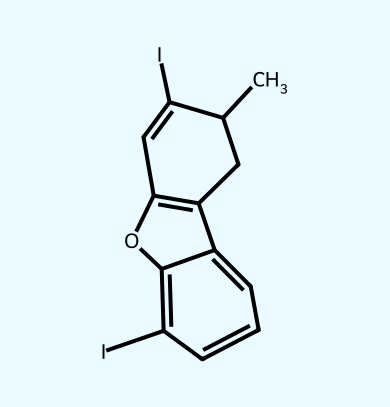 CC1Cc2c(oc3c(I)cccc23)C=C1I